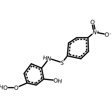 O=[N+]([O-])c1ccc(SNc2ccc(OO)cc2O)cc1